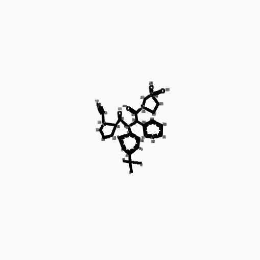 CC(C)(C)c1ccc(N(C(=O)[C@H]2CCCN2C#N)C(C(=O)N2CCS(=O)(=O)C2)c2cccnc2)cc1